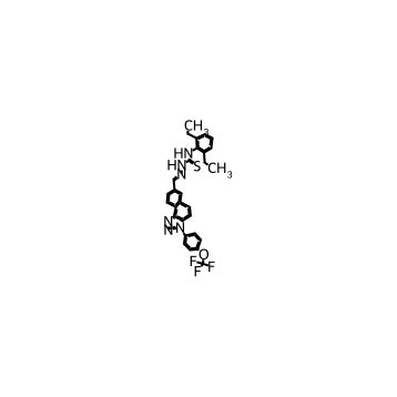 CCc1cccc(CC)c1NC(=S)NN=Cc1ccc2c(ccc3c2nnn3-c2ccc(OC(F)(F)F)cc2)c1